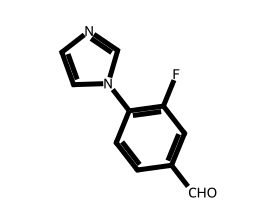 O=Cc1ccc(-n2ccnc2)c(F)c1